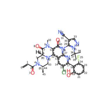 C=CC(=O)N1C[C@@H]2C(=O)N(C)c3c(c4cc(Cl)c(-c5c(O)cccc5F)nc4n(-c4c(C#N)cnn4C(C)(C)C)c3=O)N2C[C@H]1C